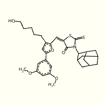 COc1cc(OC)cc(-c2cc(CCCCCO)c(/C=C3/SC(=S)N(C4C5CC6CC(C5)CC4C6)C3=O)o2)c1